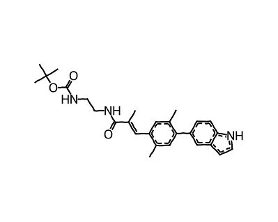 C/C(=C\c1cc(C)c(-c2ccc3[nH]ccc3c2)cc1C)C(=O)NCCNC(=O)OC(C)(C)C